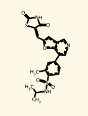 Cc1cc(-c2cncc3cc(C=C4SC(=O)NC4=O)oc23)ccc1S(=O)(=O)NC(C)C